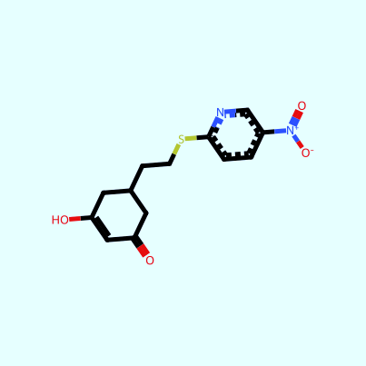 O=C1C=C(O)CC(CCSc2ccc([N+](=O)[O-])cn2)C1